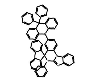 c1ccc(N2c3nc4ccccc4n3-c3ccc(N4c5ccccc5C(c5ccccc5)(c5ccccc5)c5ccccc54)cc3C23c2ccccc2-c2ccccc23)cc1